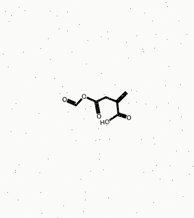 C=C(CC(=O)OC=O)C(=O)O